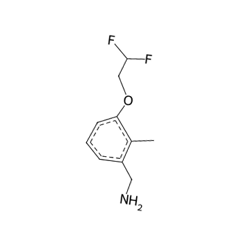 Cc1c(CN)cccc1OCC(F)F